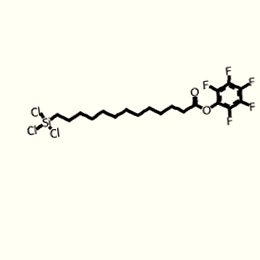 O=C(CCCCCCCCCCCC[Si](Cl)(Cl)Cl)Oc1c(F)c(F)c(F)c(F)c1F